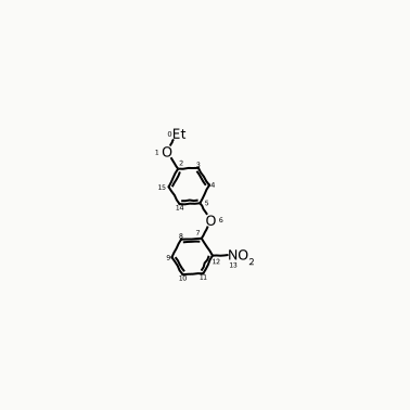 CCOc1ccc(Oc2ccccc2[N+](=O)[O-])cc1